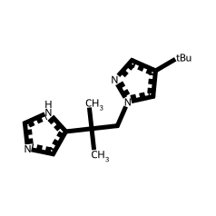 CC(C)(C)c1cnn(CC(C)(C)c2cnc[nH]2)c1